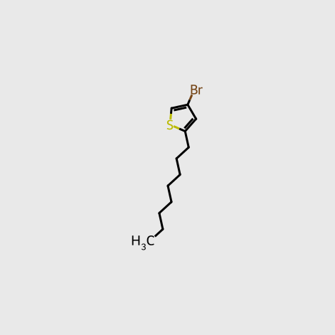 CCCCCCCCc1cc(Br)cs1